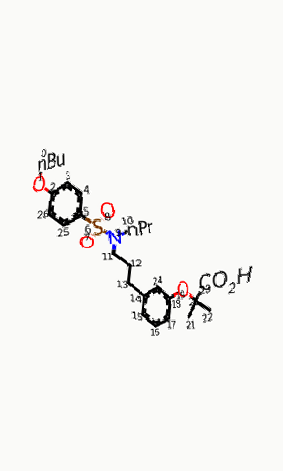 CCCCOc1ccc(S(=O)(=O)N(CCC)CCCc2cccc(OC(C)(C)C(=O)O)c2)cc1